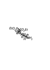 CCOC(=O)CC(NS(=O)(=O)CCCNC(=O)CNC(=O)CN)C(=O)OCC